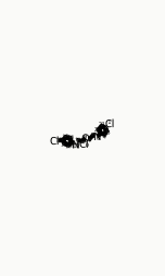 Cl.Clc1ccc(N=CCOCC=Nc2ccc(Cl)cc2)cc1